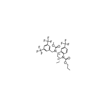 CCCOC(=O)N1c2ccc(C(F)(F)F)cc2[C@@H](N(Cc2cc(C(F)(F)F)cc(C(F)(F)F)c2)C(=O)OC)C[C@H]1CC